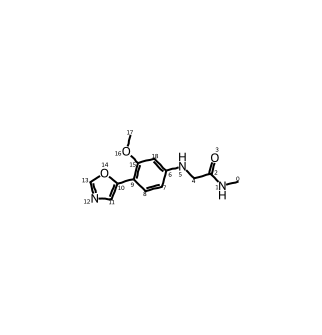 CNC(=O)CNc1ccc(-c2cnco2)c(OC)c1